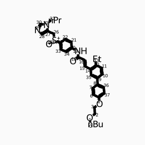 CCCCOCCOc1ccc(-c2ccc(CC)c(/C=C/C(=O)Nc3ccc([S@@+]([O-])Cc4cncn4CCC)cc3)c2)cc1